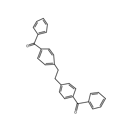 O=C(c1ccccc1)c1ccc(CCc2ccc(C(=O)c3ccccc3)cc2)cc1